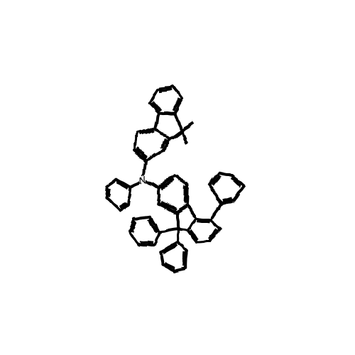 CC1(C)c2ccccc2-c2ccc(N(c3ccccc3)c3ccc4c(c3)C(c3ccccc3)(c3ccccc3)c3cccc(-c5ccccc5)c3-4)cc21